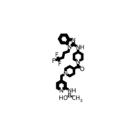 CB(O)Nc1cc(CN2CCC(C(=O)N3CCC(Nc4nc5ccccc5n4CCCC(F)(F)F)CC3)CC2)ccn1